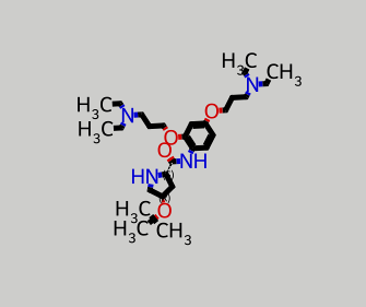 CCN(CC)CCCOc1ccc(NC(=O)[C@@H]2C[C@@H](OC(C)(C)C)CN2)c(OCCCN(CC)CC)c1